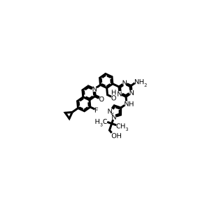 CC(C)(CO)n1cc(Nc2nc(N)nc(-c3cccc(-n4ccc5cc(C6CC6)cc(F)c5c4=O)c3CO)n2)cn1